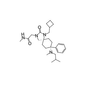 CNC(=O)CN1C[C@]2(CC[C@@](c3ccccc3)(N(C)CC(C)C)CC2)N(CC2CCC2)C1=O